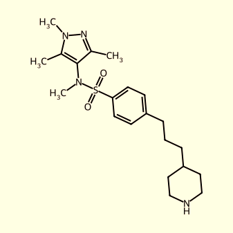 Cc1nn(C)c(C)c1N(C)S(=O)(=O)c1ccc(CCCC2CCNCC2)cc1